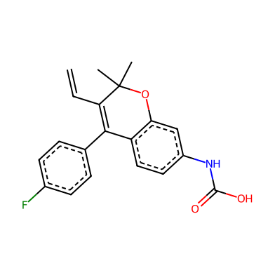 C=CC1=C(c2ccc(F)cc2)c2ccc(NC(=O)O)cc2OC1(C)C